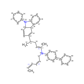 C/C=C\C=C/CN(/C(C)=C/CC(C)C1=CC2c3ccccc3N(c3ccccc3)C2C=C1)c1ccc(-c2ccccc2)cc1